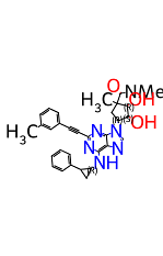 CNC(=O)C1(C)C[C@@H](n2cnc3c(N[C@@H]4CC4c4ccccc4)nc(C#Cc4cccc(C)c4)nc32)[C@H](O)[C@@H]1O